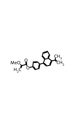 C=C(OC)C(=O)Oc1ccc(-c2ccc(C(=C)C)c3ccccc23)cc1